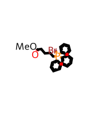 COC(=O)CCCCP(Br)(c1ccccc1)(c1ccccc1)c1ccccc1